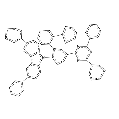 c1ccc(-c2ccc3c(c2)c2cc(-c4ccccc4)ccc2n3-c2ccc(-c3nc(-c4ccccc4)nc(-c4ccccc4)n3)cc2-c2ccccc2-c2ccccc2)cc1